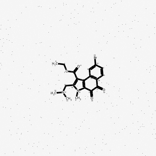 CCOC(=O)c1c2c(n(C)c1CN(C)C)C(=O)C(=O)c1ccc(Br)cc1-2